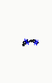 Cc1cnc2cc(C(C)(C)CCc3nc4cc(C(C)(C)C)ccc4nc3C)ccc2n1